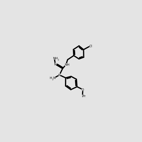 CC(C)Oc1ccc(N(N)C(=NN)NCc2ccc(Cl)cc2)cc1